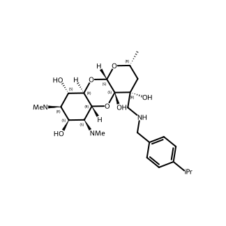 CN[C@@H]1[C@H](O)[C@H](NC)[C@H]2O[C@]3(O)[C@H](O[C@@H]2[C@H]1O)O[C@H](C)C[C@@]3(O)CNCc1ccc(C(C)C)cc1